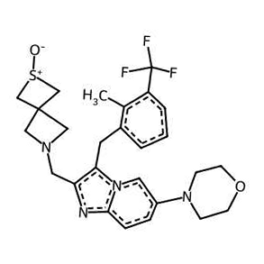 Cc1c(Cc2c(CN3CC4(C3)C[S+]([O-])C4)nc3ccc(N4CCOCC4)cn23)cccc1C(F)(F)F